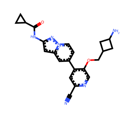 N#Cc1cc(-c2ccn3nc(NC(=O)C4CC4)cc3c2)c(OCC2CC(N)C2)cn1